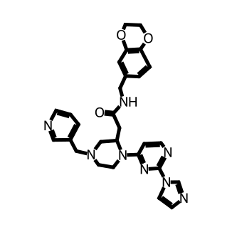 O=C(CC1CN(Cc2cccnc2)CCN1c1ccnc(-n2ccnc2)n1)NCc1ccc2c(c1)OCCO2